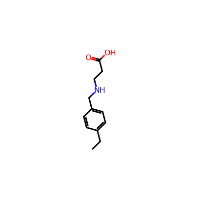 CCc1ccc(CNCCC(=O)O)cc1